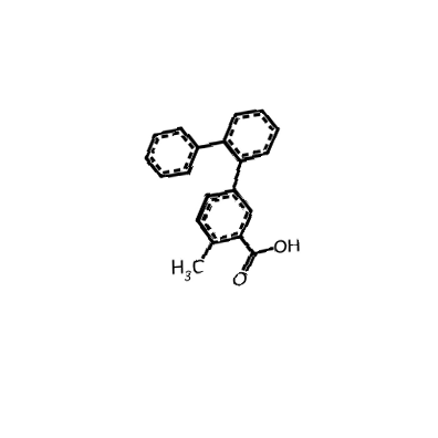 Cc1ccc(-c2ccccc2-c2ccccc2)cc1C(=O)O